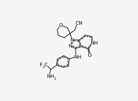 N#CCC1(n2nc(Nc3ccc(C(N)C(F)(F)F)cc3)c3c(=O)[nH]ccc32)CCCOC1